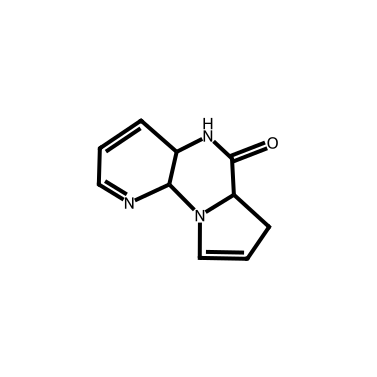 O=C1NC2C=CC=NC2N2C=CCC12